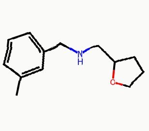 Cc1cccc(CNCC2CCCO2)c1